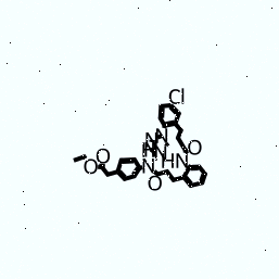 CCOC(=O)Cc1ccc(NC(=O)CCc2ccccc2NC(=O)CCc2cc(Cl)ccc2-n2cnnn2)cc1